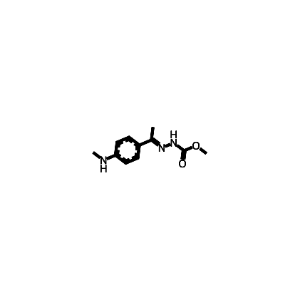 CNc1ccc(/C(C)=N/NC(=O)OC)cc1